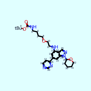 CC(C)(C)OC(=O)NCCCCOCCNc1cc(-c2ccncn2)cc2c1cnn2C1CCCCO1